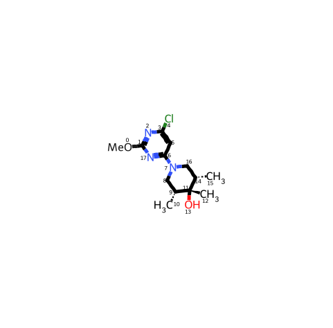 COc1nc(Cl)cc(N2C[C@@H](C)[C@@](C)(O)[C@@H](C)C2)n1